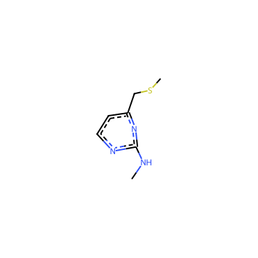 CNc1nccc(CSC)n1